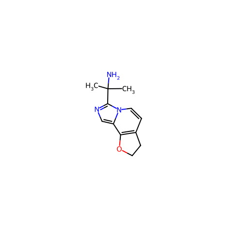 CC(C)(N)c1ncc2c3c(ccn12)CCO3